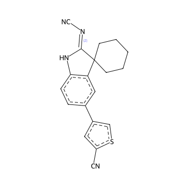 N#C/N=C1\Nc2ccc(-c3csc(C#N)c3)cc2C12CCCCC2